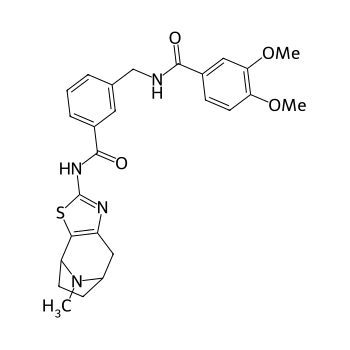 COc1ccc(C(=O)NCc2cccc(C(=O)Nc3nc4c(s3)C3CCC(C4)N3C)c2)cc1OC